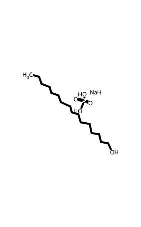 CCCCCCCCCCCCCCCCO.O=S(=O)(O)O.[NaH]